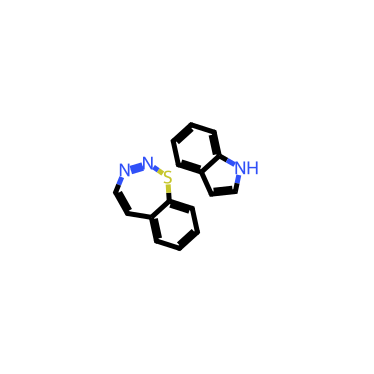 C1=Cc2ccccc2SN=N1.c1ccc2[nH]ccc2c1